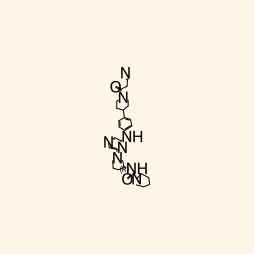 N#CCC(=O)N1CCC(c2ccc(Nc3cncc(N4CCC[C@@H](NC(=O)N5CCCCC5)C4)n3)cc2)CC1